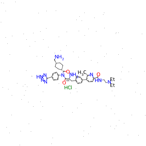 CCN(CC)CCNC(=O)c1ccc(-c2ccc(C[C@H](N)C(=O)N(c3ccc(-c4nn[nH]n4)cc3)C(=O)[C@H]3CC[C@H](CN)CC3)cc2)c(C)n1.Cl